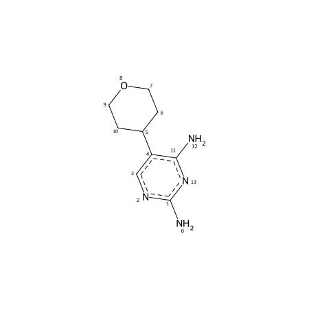 Nc1ncc(C2CCOCC2)c(N)n1